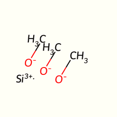 C[O-].C[O-].C[O-].[Si+3]